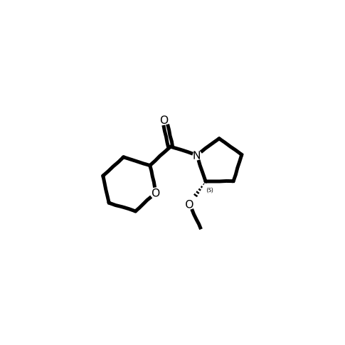 CO[C@H]1CCCN1C(=O)C1CCCCO1